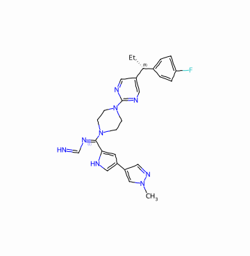 CC[C@H](c1ccc(F)cc1)c1cnc(N2CCN(/C(=N/C=N)c3cc(-c4cnn(C)c4)c[nH]3)CC2)nc1